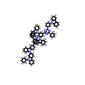 c1ccc(-c2nc(-c3cccc(-n4c5ccccc5c5ccccc54)c3)nc(-c3cc(-n4c5ccccc5c5ccccc54)c(-n4c5ccccc5c5cc(-c6ccc7c(c6)c6ccccc6n7-c6ccc7c8ccccc8n(-c8ccccc8)c7c6)ccc54)c(-n4c5ccccc5c5ccccc54)c3)n2)cc1